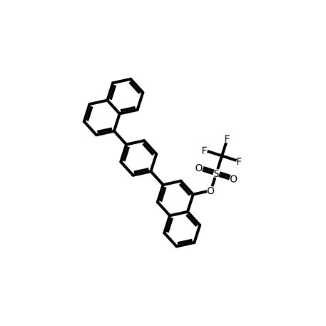 O=S(=O)(Oc1cc(-c2ccc(-c3cccc4ccccc34)cc2)cc2ccccc12)C(F)(F)F